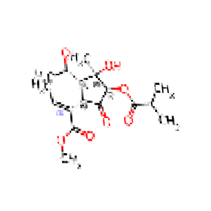 C/C=C(/C(=O)OC)[C@H]1C(=O)[C@H](OC(=O)C(C)C)[C@](C)(O)[C@H]1C(C)=O